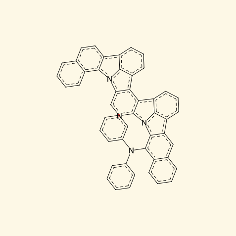 c1ccc(N(c2ccccc2)c2c3ccccc3cc3c4cccc5c6c7c8cccc9c%10ccc%11ccccc%11c%10n(c7cnc6n(c23)c45)c98)cc1